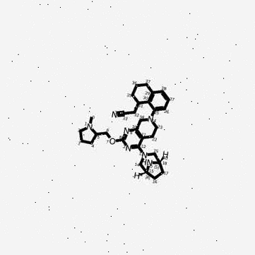 CN1CCCC1COc1nc2c(c(N3C[C@H]4CC[C@@H](C3)N4)n1)CCN(c1cccc3c1C(CC#N)CCC3)C2